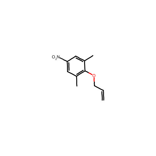 C=CCOc1c(C)cc([N+](=O)[O-])cc1C